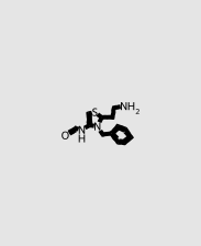 NCCC1SC=C(N[C]=O)N1Cc1ccccc1